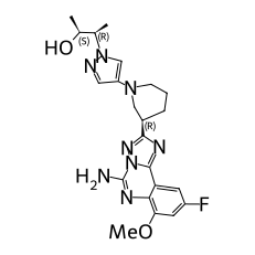 COc1cc(F)cc2c1nc(N)n1nc([C@@H]3CCCN(c4cnn([C@H](C)[C@H](C)O)c4)C3)nc21